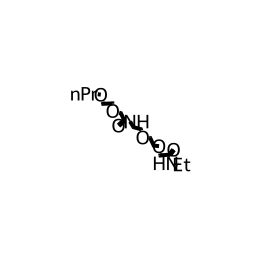 CCCOCCOCC(=O)NCCOCCOCC(=O)NCC